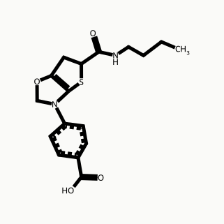 CCCCNC(=O)C1CC2=C(S1)N(c1ccc(C(=O)O)cc1)CO2